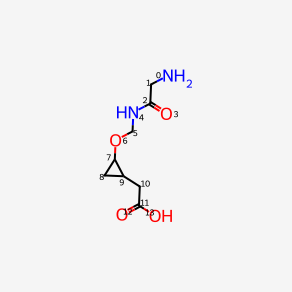 NCC(=O)NCOC1CC1CC(=O)O